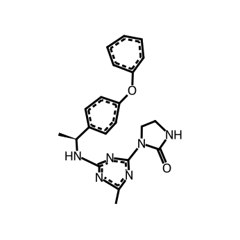 Cc1nc(N[C@@H](C)c2ccc(Oc3ccccc3)cc2)nc(N2CCNC2=O)n1